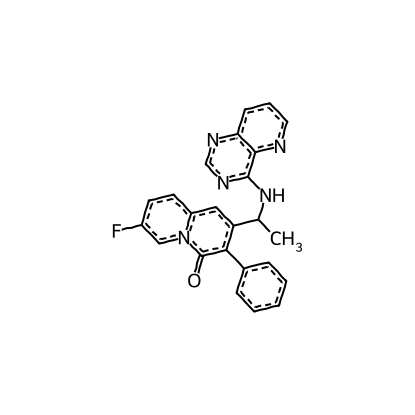 CC(Nc1ncnc2cccnc12)c1cc2ccc(F)cn2c(=O)c1-c1ccccc1